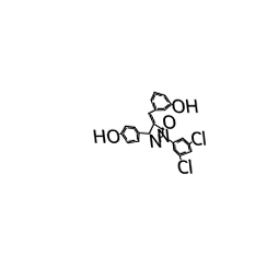 O=C1C(=Cc2cccc(O)c2)C(c2ccc(O)cc2)=NN1c1cc(Cl)cc(Cl)c1